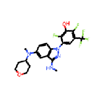 CNc1nn(-c2cc(C(F)(F)F)c(F)c(O)c2F)c2ccc(N(C)C3CCOCC3)cc12